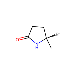 CC[C@]1(C)CCC(=O)N1